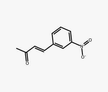 CC(=O)C=Cc1cccc([N+](=O)[O-])c1